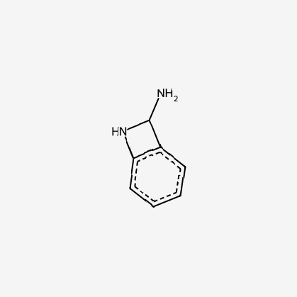 NC1Nc2ccccc21